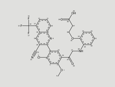 COc1cc(Cl)c(-c2nc3cccc(C(F)(F)F)c3cc2C#N)cc1C(=O)CNc1ccccc1OCCC(=O)O